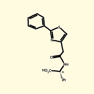 CC(C)[C@@H](NC(=O)Cc1csc(-c2ccccc2)n1)C(=O)O